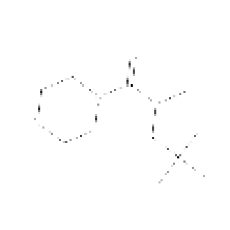 CC(CC(C)(C)C)C(=O)N1CCNCC1